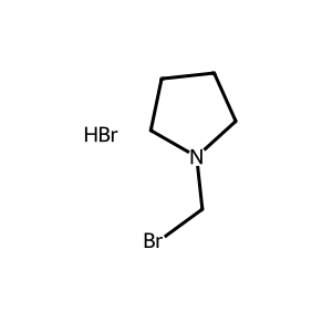 Br.BrCN1CCCC1